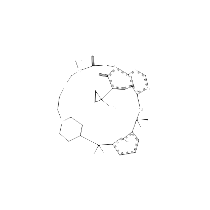 C[C@H]1Nc2ncnc3c2cc(C2(C#N)CC2)c(=O)n3CC(=O)N(C)CCCCN2CCC(CC2)C(F)(F)c2cccc1c2F